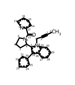 CC#CCn1c(C2CCCN2C(=O)c2ccccn2)c(-c2ccccc2)c2ccccc21